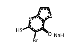 O=c1c(Br)c(S)sc2ccsc12.[NaH]